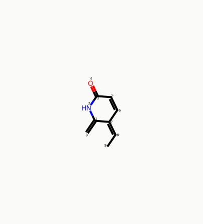 C=c1[nH]c(=O)cc/c1=C/C